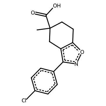 CC1(C(=O)O)CCc2onc(-c3ccc(Cl)cc3)c2C1